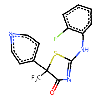 O=C1N=C(Nc2ccccc2F)SC1(c1ccncc1)C(F)(F)F